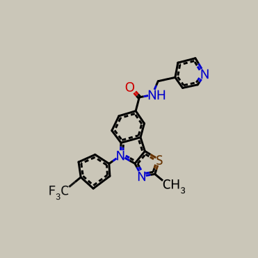 Cc1nc2c(s1)c1cc(C(=O)NCc3ccncc3)ccc1n2-c1ccc(C(F)(F)F)cc1